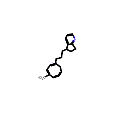 O=C(O)/C1=C/C=C(/CCCC2CCc3ncccc32)CC=C=C1